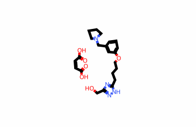 O=C(O)/C=C\C(=O)O.OCc1n[nH]c(CCCCOc2cccc(CN3CCCC3)c2)n1